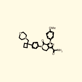 COc1ccc(-n2nc(C(N)=O)c3c2C(=O)N(c2ccc(C4(CN5CCOCC5)CCC4)cc2)CC3)cc1